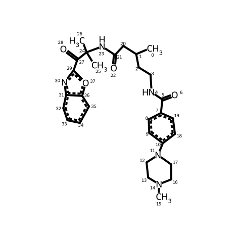 CC(CCNC(=O)c1ccc(N2CCN(C)CC2)cc1)CC(=O)NC(C)(C)C(=O)c1nc2ccccc2o1